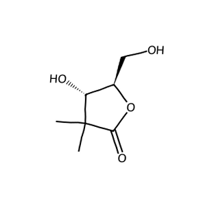 CC1(C)C(=O)O[C@H](CO)[C@H]1O